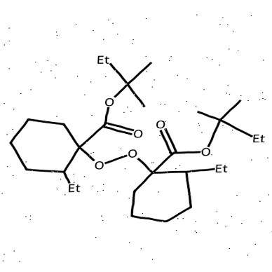 CCC1CCCCC1(OOC1(C(=O)OC(C)(C)CC)CCCCC1CC)C(=O)OC(C)(C)CC